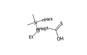 CCCCCCCC(O)=S.CCCCCC[Si](C)(C)OCC